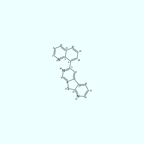 c1cnc2c(-c3cc4c(cn3)sc3ncccc34)cccc2c1